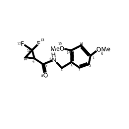 COc1ccc(CNC(=O)C2CC2(F)F)c(OC)c1